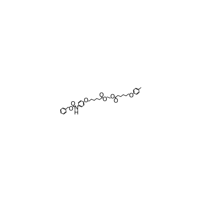 Cc1ccc(OCCCCCC(=O)OCCOC(=O)CCCCCOc2ccc(NC(=O)OCc3ccccc3)cc2)cc1